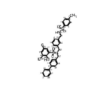 Cc1ccc(S(=O)(=O)NCc2cccc(CN(Cc3ccc(-c4ccccc4)cc3)S(=O)(=O)c3cc(Cl)cc(Cl)c3O)c2)cc1